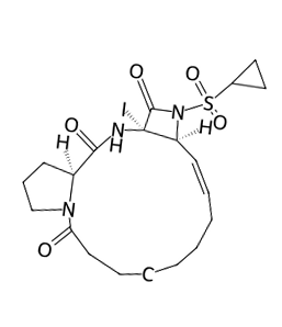 O=C1N[C@@]2(I)C(=O)N(S(=O)(=O)C3CC3)[C@H]2/C=C\CCCCCCC(=O)N2CCC[C@@H]12